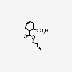 CC(C)CCOC(=O)C1CC=CCC1C(=O)O